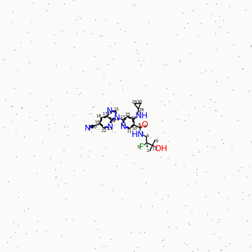 CC(C)(O)C(F)CNC(=O)c1cnc(-n2cnc3cc(C#N)cnc32)cc1NC1CC1